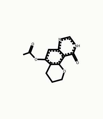 CC(=O)Oc1cc2nc[nH]c(=O)c2c2c1CCCO2